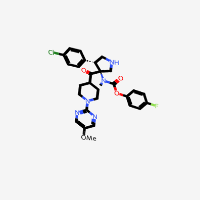 COc1cnc(N2CCC(C(=O)[C@@]3(N(C)C(=O)Oc4ccc(F)cc4)CNC[C@H]3c3ccc(Cl)cc3)CC2)nc1